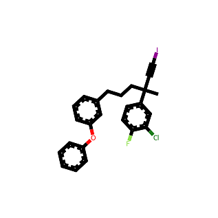 CC(C#CI)(CCCc1cccc(Oc2ccccc2)c1)c1ccc(F)c(Cl)c1